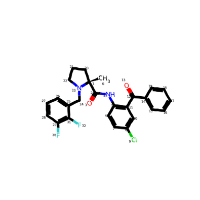 C[C@]1(C(=O)Nc2ccc(Cl)cc2C(=O)c2ccccc2)CCCN1Cc1cccc(F)c1F